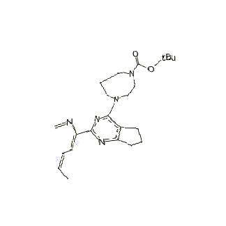 C=N/C(=C\C=C/C)c1nc2c(c(N3CCCN(C(=O)OC(C)(C)C)CC3)n1)CCC2